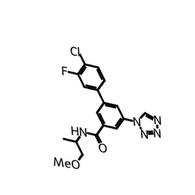 COCC(C)NC(=O)c1cc(-c2ccc(Cl)c(F)c2)cc(-n2cnnn2)c1